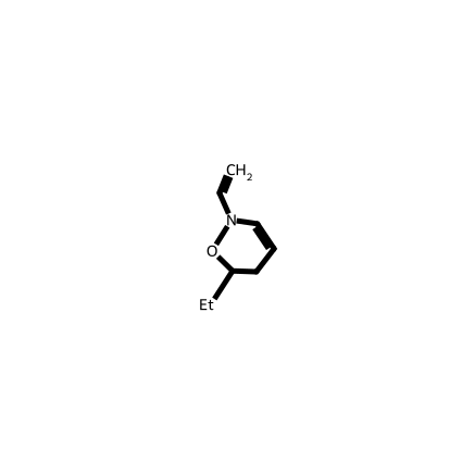 C=CN1C=CCC(CC)O1